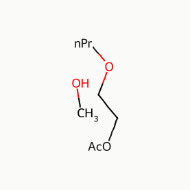 CCCOCCOC(C)=O.CO